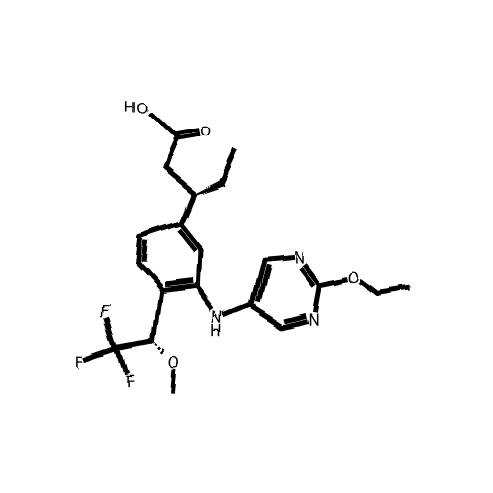 CCOc1ncc(Nc2cc([C@H](CC)CC(=O)O)ccc2[C@H](OC)C(F)(F)F)cn1